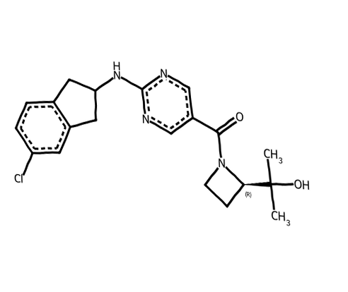 CC(C)(O)[C@H]1CCN1C(=O)c1cnc(NC2Cc3ccc(Cl)cc3C2)nc1